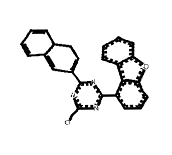 Clc1nc(C2=CCC3C=CC=CC3=C2)nc(-c2cccc3oc4ccccc4c23)n1